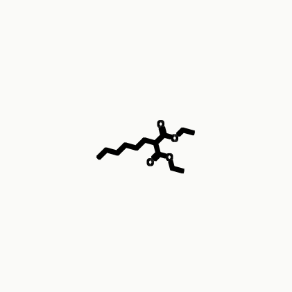 CCCCCCC(C(=O)OCC)C(=O)OCC